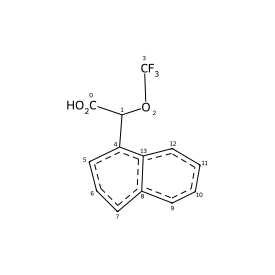 O=C(O)C(OC(F)(F)F)c1cccc2ccccc12